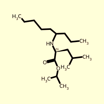 CCCCCC(CCC)N[C@@H](CC(C)C)C(=O)OC(C)C